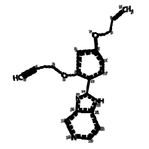 C#CCOc1cc(OCC=C)ccc1-c1nc2cnccc2[nH]1